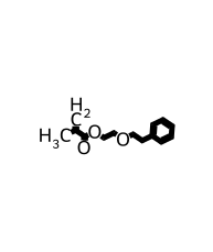 C=C(C)C(=O)OCCOCCc1ccccc1